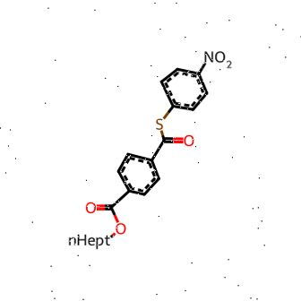 CCCCCCCOC(=O)c1ccc(C(=O)Sc2ccc([N+](=O)[O-])cc2)cc1